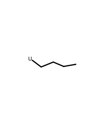 CCC[CH2][U]